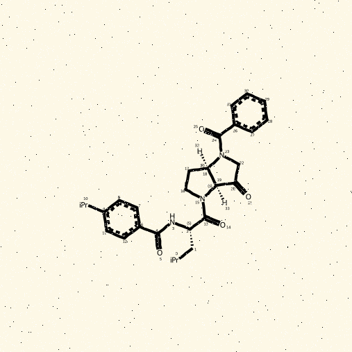 CC(C)C[C@H](NC(=O)c1ccc(C(C)C)cc1)C(=O)N1CC[C@@H]2[C@H]1C(=O)CN2C(=O)c1ccccc1